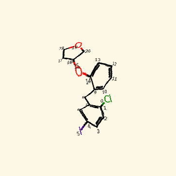 Clc1ccc(I)cc1Cc1ccccc1OC1CCOC1